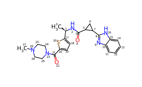 C[C@@H](NC(=O)C1CC1c1nc2ccccc2[nH]1)c1ccc(C(=O)N2CCN(C)CC2)s1